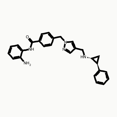 Nc1ccccc1NC(=O)c1ccc(Cn2cc(CN[C@@H]3C[C@H]3c3ccccc3)cn2)cc1